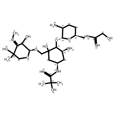 C/N=C1\C(O)[C@@H](OCC2(O)C[C@H](NC(=N)C(C)(C)O)C[C@H](N)C2O[C@H]2O[C@H](CNC(=N)CO)CCC2N)OCC1(C)O